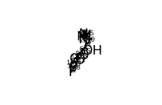 C=C(C=CC(O)CC(=O)CC(=O)Oc1ccc(F)cc1)c1nnnn1C